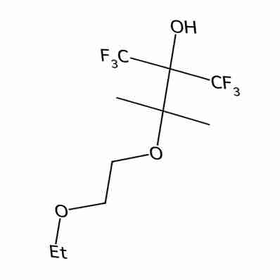 CCOCCOC(C)(C)C(O)(C(F)(F)F)C(F)(F)F